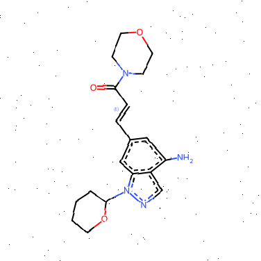 Nc1cc(/C=C/C(=O)N2CCOCC2)cc2c1cnn2C1CCCCO1